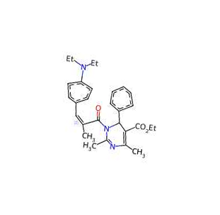 CCOC(=O)C1=C(C)N=C(C)N(C(=O)/C(C)=C\c2ccc(N(CC)CC)cc2)C1c1ccccc1